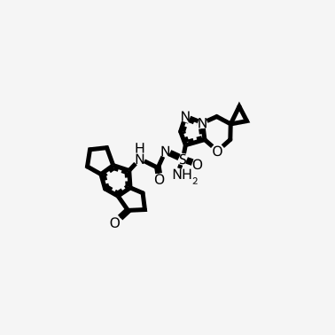 NS(=O)(=NC(=O)Nc1c2c(cc3c1CCC3=O)CCC2)c1cnn2c1OCC1(CC1)C2